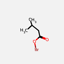 CC(C)CC(=O)OBr